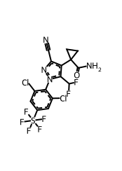 N#Cc1nn(-c2c(Cl)cc(S(F)(F)(F)(F)F)cc2Cl)c(C(F)F)c1C1(C(N)=O)CC1